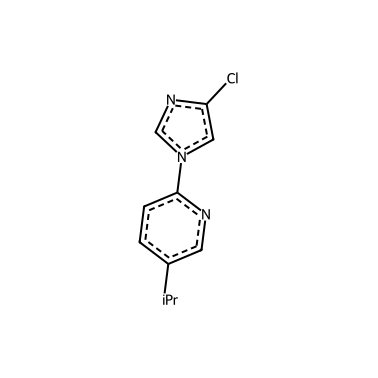 CC(C)c1ccc(-n2cnc(Cl)c2)nc1